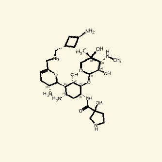 CN[C@@H]1[C@@H](O)[C@@H](O[C@@H]2[C@@H](O)[C@H](C3OC(CNC[C@H]4C[C@H](N)C4)=CC[C@H]3N)[C@@H](N)C[C@H]2NC(=O)C2(O)CCNC2)OC[C@]1(C)O